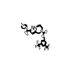 CN1CCN(C(=O)c2cc3n(n2)CCCN(C(=O)OCc2cc(C(F)(F)F)cc(C(F)(F)F)c2)C3)CC1